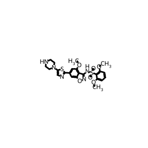 COc1cccc(OC)c1S(=O)(=O)Nc1noc2cc(-c3ncc(N4CCNCC4)s3)cc(OC)c12